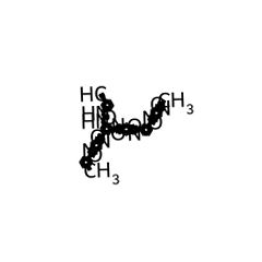 C#Cc1cccc(NC(=O)Nc2cc(-c3nc4cc5oc(-c6cccc(C)c6)nc5cc4o3)cc(-c3nc4cc5oc(-c6cccc(-c7nc8cc9oc(C)nc9cc8o7)c6)nc5cc4o3)c2)c1